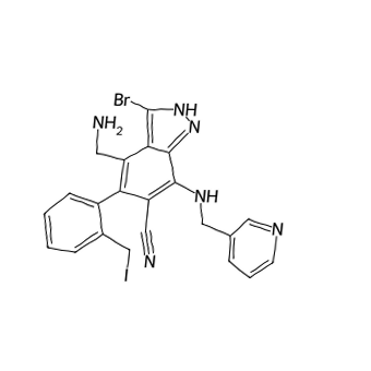 N#Cc1c(-c2ccccc2CI)c(CN)c2c(Br)[nH]nc2c1NCc1cccnc1